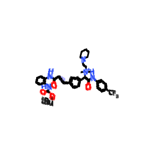 CC(C)(C)OC(=O)Nc1ccccc1NC(=O)/C=C/c1ccc(C(C(=O)Nc2ccc(C(F)(F)F)cc2)[N+](C)(C)CCN2CCCCC2)cc1